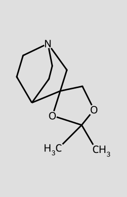 CC1(C)OCC2(CN3CCC2CC3)O1